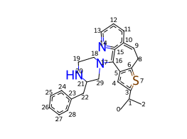 CC(C)c1cc2c(s1)CC=c1cccnc1=C2N1CCNC(Cc2ccccc2)C1